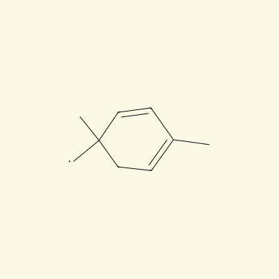 [CH2]C1(C)C=CC(C)=CC1